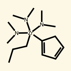 CC[CH2][Zr]([C]1=CC=CC1)([N](C)C)([N](C)C)[N](C)C